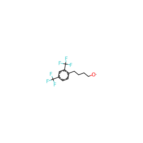 [O]CCCCc1ccc(C(F)(F)F)cc1C(F)(F)F